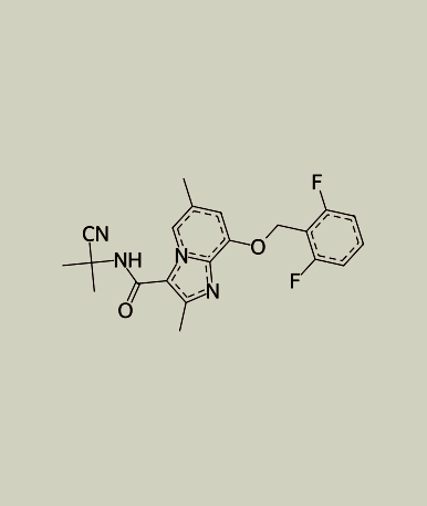 Cc1cc(OCc2c(F)cccc2F)c2nc(C)c(C(=O)NC(C)(C)C#N)n2c1